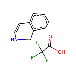 C1=Cc2ccccc2CN1.O=C(O)C(F)(F)F